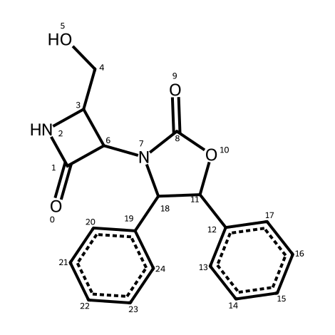 O=C1NC(CO)C1N1C(=O)OC(c2ccccc2)C1c1ccccc1